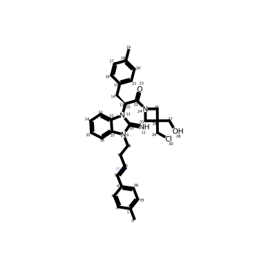 Cc1ccc(/C=C/CCn2c(=N)n([C@@H](Cc3ccc(C)cc3)C(=O)N3CC(CO)(CCl)C3)c3ccccc32)cc1